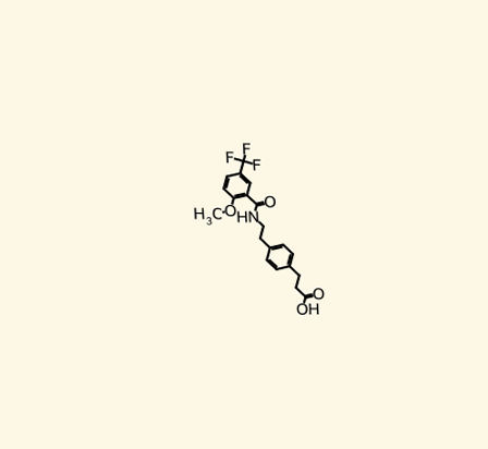 COc1ccc(C(F)(F)F)cc1C(=O)NCCc1ccc(CCC(=O)O)cc1